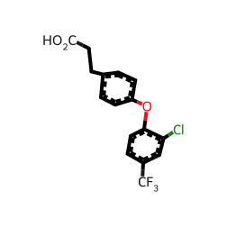 O=C(O)CCc1ccc(Oc2ccc(C(F)(F)F)cc2Cl)cc1